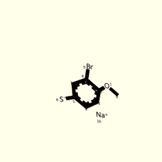 COc1ccc([S-])cc1Br.[Na+]